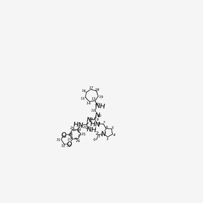 CCN1CCCC1CNC(=N/CNC1CCCCCC1)/N=C(\N)Nc1ccc2c(c1)OCCO2